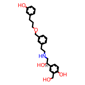 OCc1cc([C@@H](O)CNCCc2cccc(COCCCc3cccc(O)c3)c2)ccc1O